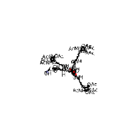 CC(=O)NC1C(OCCCCCCNC(=O)CCOCC(COCCC(=O)NCCCCCCOC2OC(COC(C)=O)C(OC(C)=O)C(OC(C)=O)C2NC(C)=O)(COCCC(=O)NCCCCCCOC2OC(COC(C)=O)C(OC(C)=O)C(OC(C)=O)C2NC(C)=O)NC(=O)C2CCCN2C(=O)CCCC(=O)NCCCCOP(=O)(O)OC=C=C/C=C/O)OC(COC(C)=O)C(OC(C)=O)C1OC(C)=O